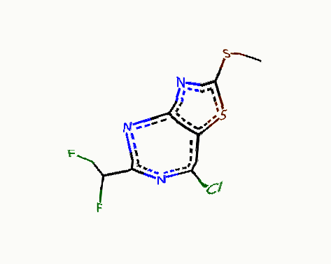 CSc1nc2nc(C(F)F)nc(Cl)c2s1